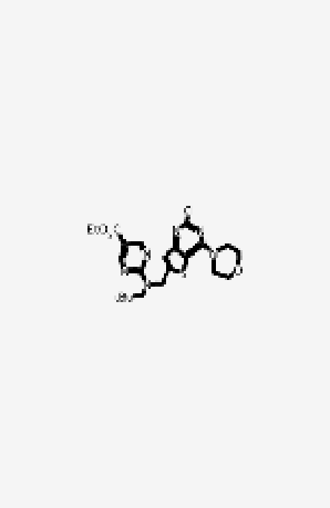 CCOC(=O)c1cnc(N(Cc2cc3nc(Cl)nc(N4CCOCC4)c3s2)CC(C)(C)C)nc1